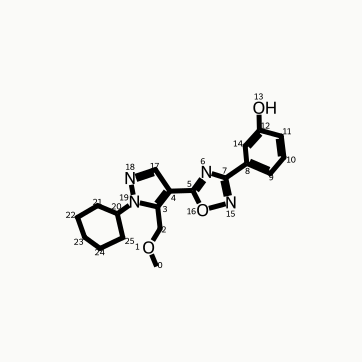 COCc1c(-c2nc(-c3cccc(O)c3)no2)cnn1C1CCCCC1